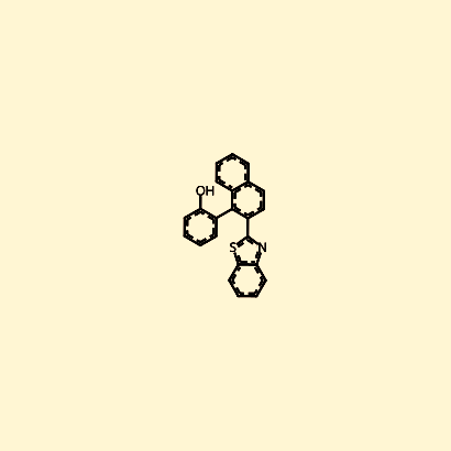 Oc1ccccc1-c1c(-c2nc3ccccc3s2)ccc2ccccc12